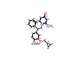 COc1ccc(C(Cn2c(C)cc(=O)cc2C)c2ccccc2)cc1OCC1CC1